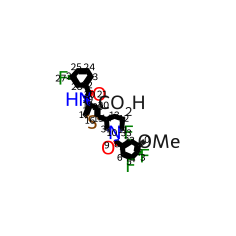 COc1c(F)c(F)cc(C(=O)N2CCCC(c3scc(NC(=O)c4cccc(F)c4)c3C(=O)O)C2)c1F